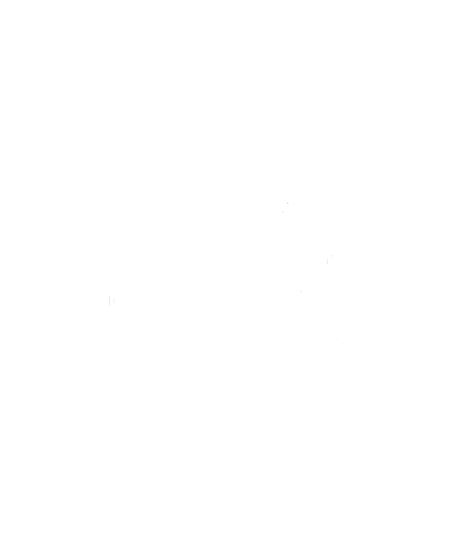 COC(=O)c1cc(CO)c(F)cc1Br